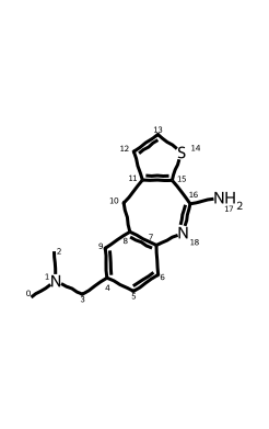 CN(C)Cc1ccc2c(c1)Cc1ccsc1C(N)=N2